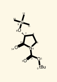 CC(C)(C)OC(=O)N1CC[C@@H](O[Si](C)(C)C)C1=O